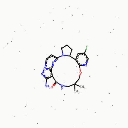 CC1(C)CNC(=O)c2c(N)nn3ccc(nc23)N2CCCC2c2cc(F)cnc2OC1